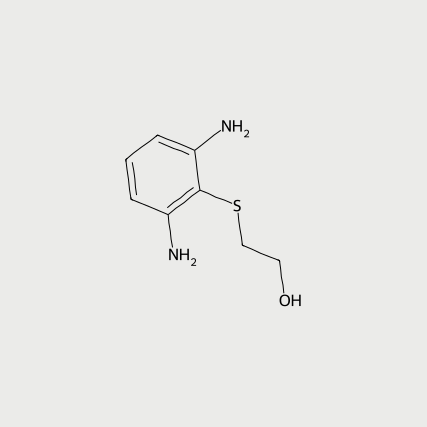 Nc1cccc(N)c1SCCO